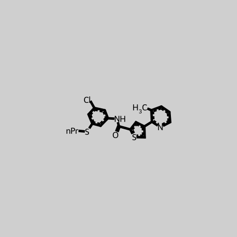 CCCSc1cc(Cl)cc(NC(=O)c2cc(-c3ncccc3C)cs2)c1